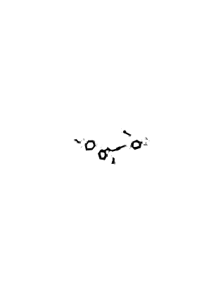 CC[C@]1(N(C)CCOC)CC[C@H](Nc2cccc3c2cc(C#CCNc2ccc(S(N)(=O)=O)cc2OCC#N)n3CC(F)(F)F)CC1